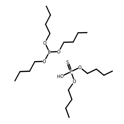 CCCCOB(OCCCC)OCCCC.CCCCOP(O)(=S)OCCCC